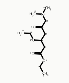 CCOC(=O)CC(CC(=O)CN(C)C)OCC